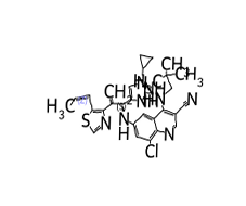 C=C(c1ncsc1/C=C\C)[C@H](Nc1cc(Cl)c2ncc(C#N)c(NCC(C)(C)C)c2c1)C1=CN(C2CC2)NN1